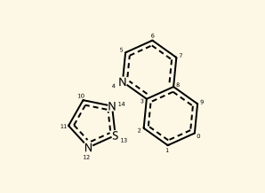 c1ccc2ncccc2c1.c1cnsn1